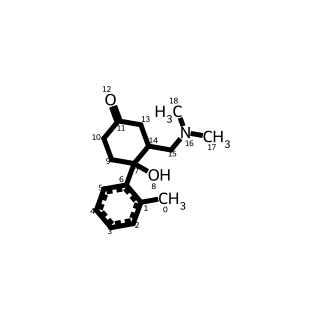 Cc1ccccc1C1(O)CCC(=O)CC1CN(C)C